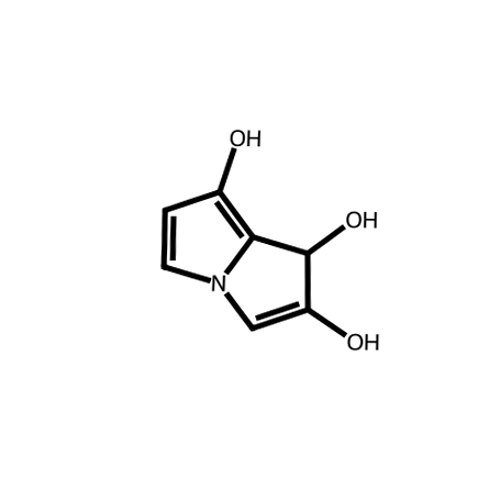 OC1=Cn2ccc(O)c2C1O